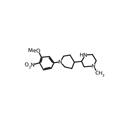 COc1cc(N2CCC(C3CN(C)CCN3)CC2)ccc1[N+](=O)[O-]